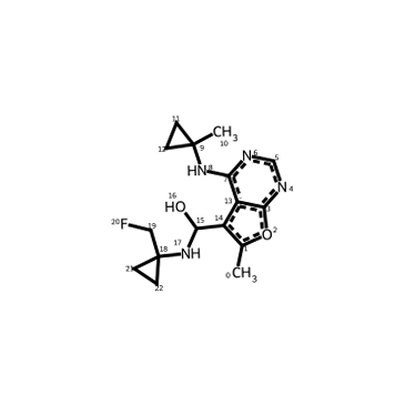 Cc1oc2ncnc(NC3(C)CC3)c2c1C(O)NC1(CF)CC1